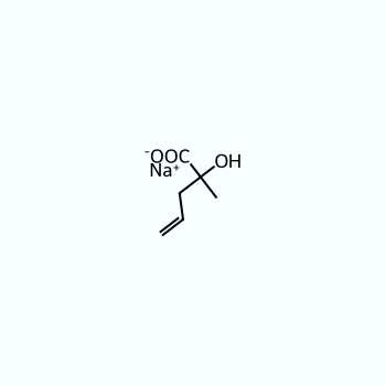 C=CCC(C)(O)C(=O)[O-].[Na+]